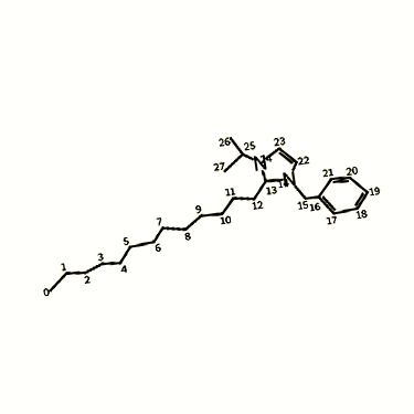 CCCCCCCCCCCCCC1N(Cc2ccccc2)C=CN1C(C)C